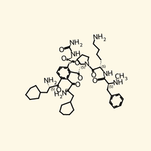 CN[C@@H](Cc1ccccc1)C(=O)N[C@@H](CCCCN)C(=O)N1CCC[C@H]1C(=O)c1c(S(=O)(=O)NC(N)=O)ccc(C(=O)[C@@H](N)CC2CCCCC2)c1C(=O)[C@H](N)CC1CCCCC1